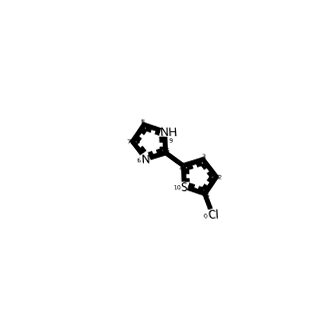 Clc1ccc(-c2ncc[nH]2)s1